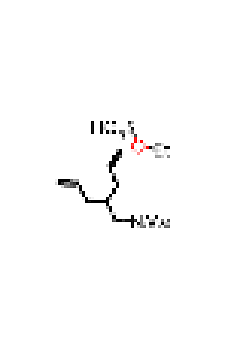 C=CCC(CC=C)CNC.CCOS(=O)(=O)O